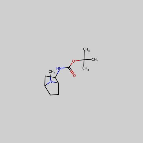 CN1C2CCC1C(NC(=O)OC(C)(C)C)C2